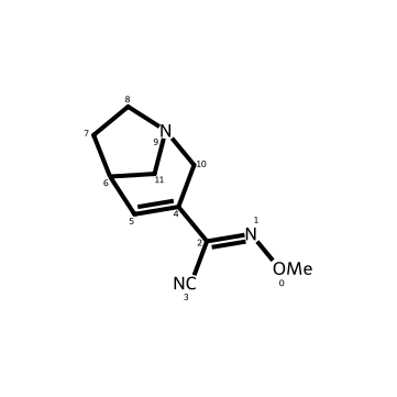 CON=C(C#N)C1=CC2CCN(C1)C2